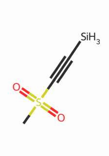 CS(=O)(=O)C#C[SiH3]